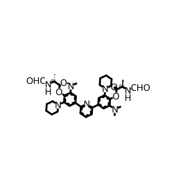 C[C@@H](NC=O)C(=O)Oc1c(N(C)C)cc(-c2cccc(-c3cc(N(C)C)c(OC(=O)[C@@H](C)NC=O)c(N4CCCCC4)c3)n2)cc1N1CCCCC1